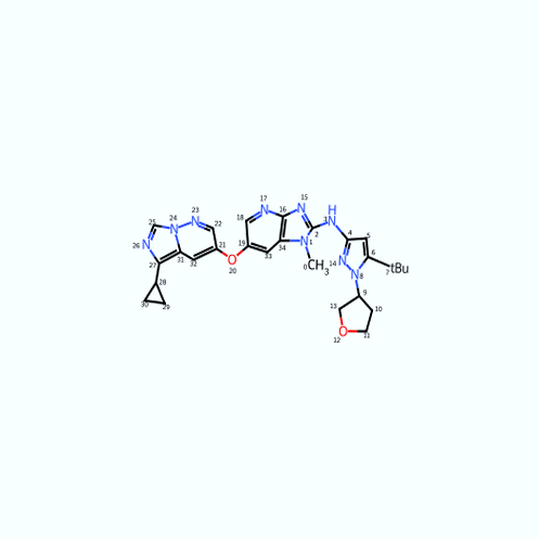 Cn1c(Nc2cc(C(C)(C)C)n(C3CCOC3)n2)nc2ncc(Oc3cnn4cnc(C5CC5)c4c3)cc21